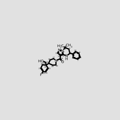 CC1(C)CC(c2ccccc2)Nc2c(C(=O)N3CCC(C4(CO)C=CC(F)=CC4)CC3)cnn21